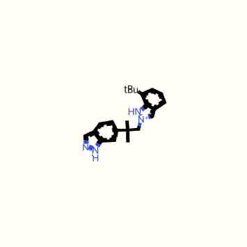 CC(C)(C)c1cccc2c[n+](CC(C)(C)c3ccc4cn[nH]c4c3)[nH]c12